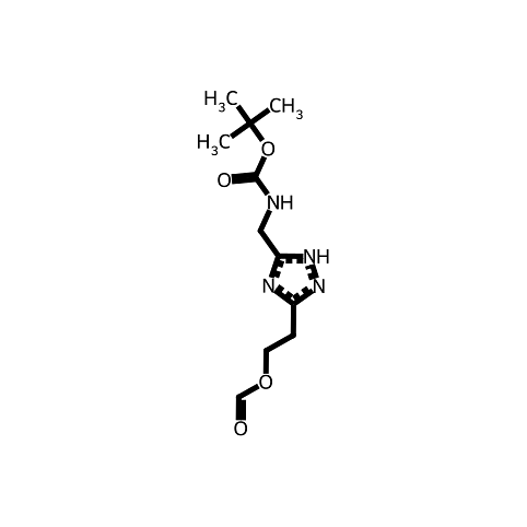 CC(C)(C)OC(=O)NCc1nc(CCOC=O)n[nH]1